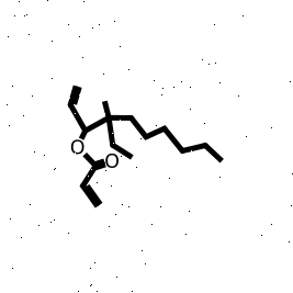 C=CC(=O)OC(C=C)C(C)(CC)CCCCCC